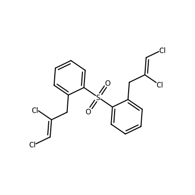 O=S(=O)(c1ccccc1C/C(Cl)=C/Cl)c1ccccc1C/C(Cl)=C/Cl